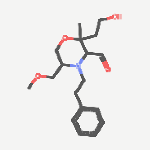 COCC1COC(C)(CCO)C(C=O)N1CCc1ccccc1